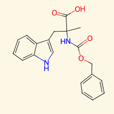 CC(Cc1c[nH]c2ccccc12)(NC(=O)OCc1ccccc1)C(=O)O